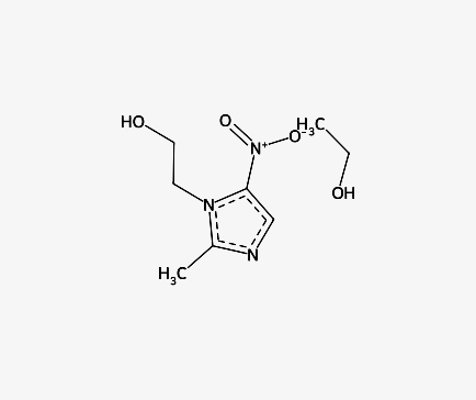 CCO.Cc1ncc([N+](=O)[O-])n1CCO